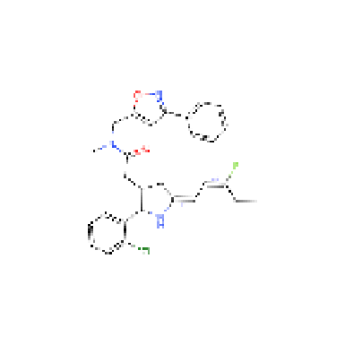 CC/C(F)=C\C=C1/CC(CC(=O)N(C)Cc2cc(-c3ccccc3)no2)C(c2ccccc2Cl)N1